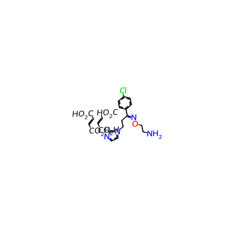 NCCON=C(CCn1ccnc1)c1ccc(Cl)cc1.O=C(O)C=CC(=O)O.O=C(O)C=CC(=O)O